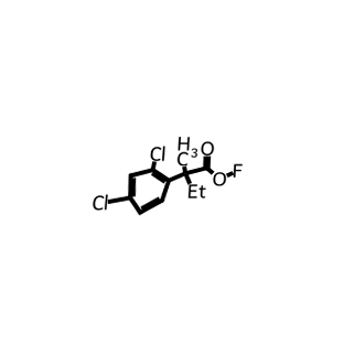 CCC(C)(C(=O)OF)c1ccc(Cl)cc1Cl